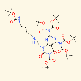 CC(C)(C)OC(=O)NCCCCNCCn1c(=O)n(C(=O)OC(C)(C)C)c(=O)c2c(N(C(=O)OC(C)(C)C)C(=O)OC(C)(C)C)nc(N(C(=O)OC(C)(C)C)C(=O)OC(C)(C)C)nc21